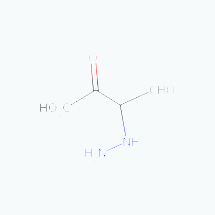 NNC(C=O)C(=O)C(=O)O